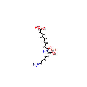 NCCCCC[C@H](NC(=O)CCCCCCCC(=O)O)C(=O)O